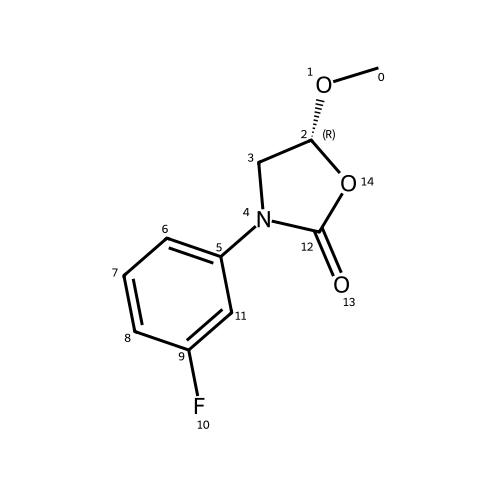 CO[C@H]1CN(c2cccc(F)c2)C(=O)O1